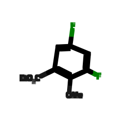 CCOC(=O)c1cc(F)cc(F)c1OC